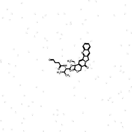 CC[C@@]1(OC(=O)[C@@H](NC(=O)CCC=O)C(C)C)C(=O)OCc2c1cc1n(c2=O)Cc2cc3ccccc3nc2-1